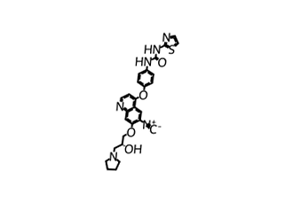 [C-]#[N+]c1cc2c(Oc3ccc(NC(=O)Nc4nccs4)cc3)ccnc2cc1OC[C@H](O)CN1CCCC1